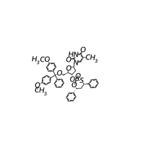 COc1ccc(C(OC[C@H]2O[C@@H](n3cc(C)c(=O)[nH]c3=O)C[C@@H]2O[P@@]2(=O)O[C@@H](c3ccccc3)C[C@H](c3ccccc3)S2)(c2ccccc2)c2ccc(OC)cc2)cc1